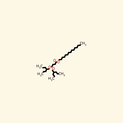 CCCCCCCCCCCCCCCOC(=O)CCC(OCC(CCC)CCC)OCC(CCC)CCC